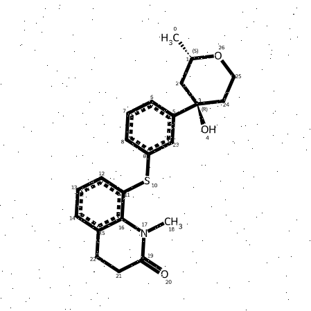 C[C@H]1C[C@@](O)(c2cccc(Sc3cccc4c3N(C)C(=O)CC4)c2)CCO1